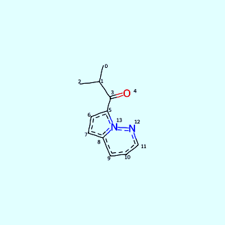 CC(C)C(=O)c1ccc2cccnn12